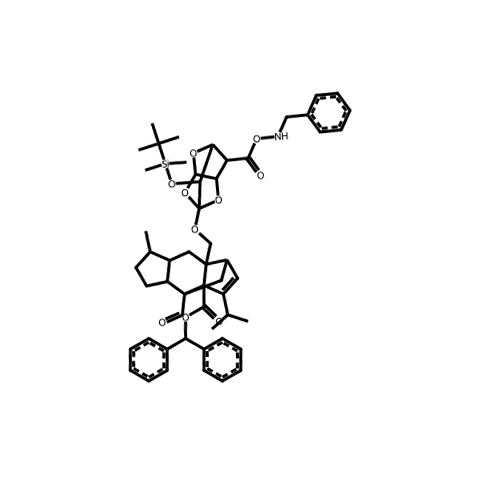 CC(C)C1=CC2CC3(C=O)C4CCC(C)C4CC2(COC24OC5OC(C(C(=O)ONCc6ccccc6)C5O2)C4O[Si](C)(C)C(C)(C)C)C13C(=O)OC(c1ccccc1)c1ccccc1